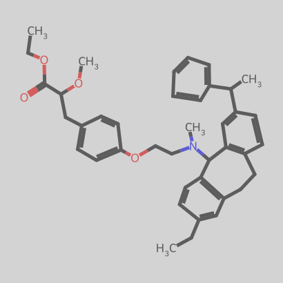 CCOC(=O)C(Cc1ccc(OCCN(C)C2c3ccc(CC)cc3CCc3ccc(C(C)c4ccccc4)cc32)cc1)OC